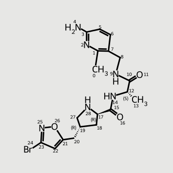 Cc1nc(N)ccc1CNC(=O)[C@H](C)NC(=O)[C@H]1C[C@H](Cc2cc(Br)no2)CN1